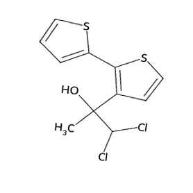 CC(O)(c1ccsc1-c1cccs1)C(Cl)Cl